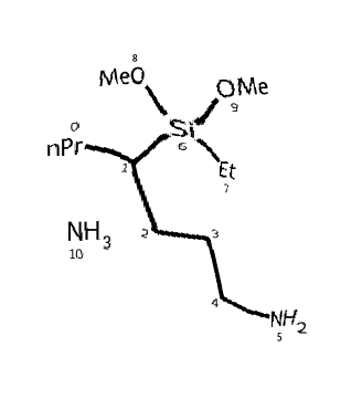 CCCC(CCCN)[Si](CC)(OC)OC.N